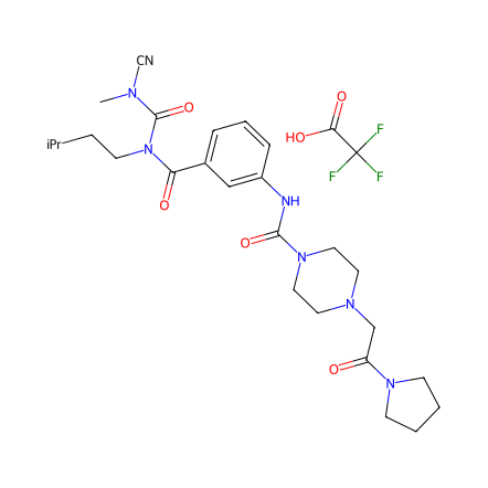 CC(C)CCN(C(=O)c1cccc(NC(=O)N2CCN(CC(=O)N3CCCC3)CC2)c1)C(=O)N(C)C#N.O=C(O)C(F)(F)F